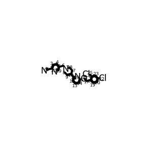 N#Cc1ccc(CN2CC=C(c3cccc(OCc4ccc(Cl)cc4Cl)n3)CC2)cn1